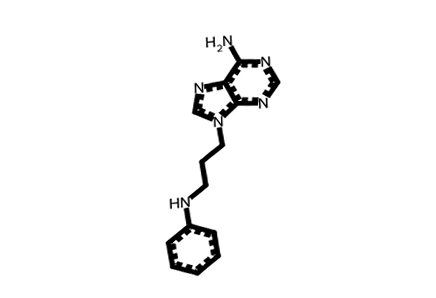 Nc1ncnc2c1ncn2CCCNc1ccccc1